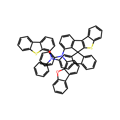 c1ccc(N(c2cccc3c2C2(c4ccccc4-c4ccc(N(c5ccccc5)c5cccc6c5sc5ccccc56)cc42)c2sc4ccccc4c2-3)c2cccc3c2oc2ccccc23)cc1